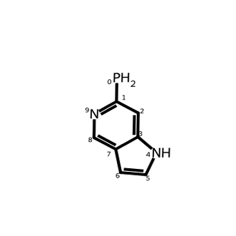 Pc1cc2[nH]ccc2cn1